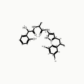 CC(NC(=O)C(O)c1ccccc1Cl)C(=O)Nc1cc(CC(C)c2cc(F)cc(F)c2)n[nH]1